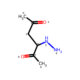 CC(=O)CC(NN)C(C)=O